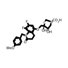 COc1ccc(CN2C(=O)CCc3c(OC[C@]4(O)CCN(C(=O)O)C[C@H]4O)cc(F)c(F)c32)cc1